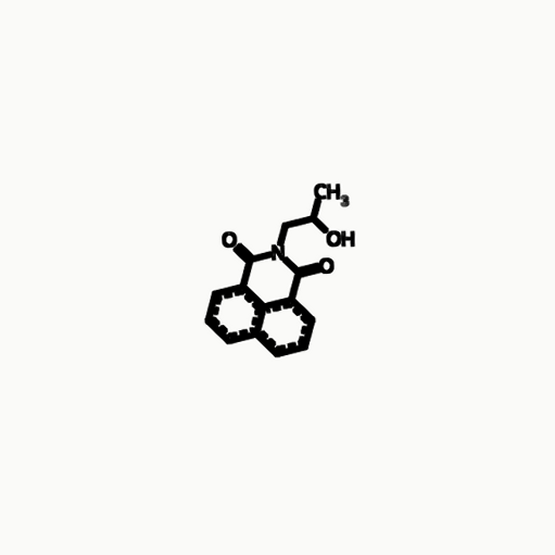 CC(O)CN1C(=O)c2cccc3cccc(c23)C1=O